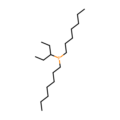 CCCCCCCP(CCCCCCC)C(CC)CC